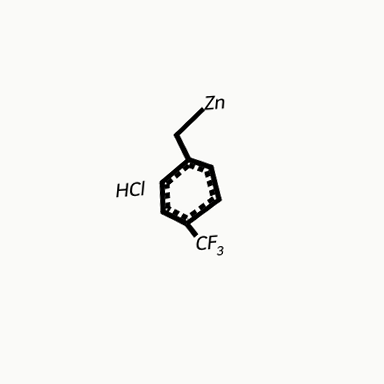 Cl.FC(F)(F)c1ccc([CH2][Zn])cc1